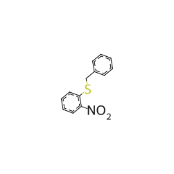 O=[N+]([O-])c1ccccc1SCc1ccccc1